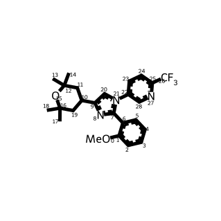 COc1ccccc1-c1nc(C2CC(C)(C)OC(C)(C)C2)cn1-c1ccc(C(F)(F)F)nc1